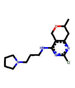 CC1Cc2nc(Cl)nc(NCCCN3CCCC3)c2CO1